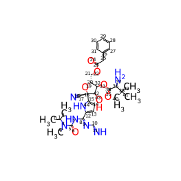 CC(C)N(C)C(=O)N/C(=N/C=N)c1ccc([C@]2(C#N)O[C@H](COC(=O)Cc3ccccc3)[C@@H](OC(=O)[C@@H](N)C(C)(C)C)[C@H]2O)[nH]1